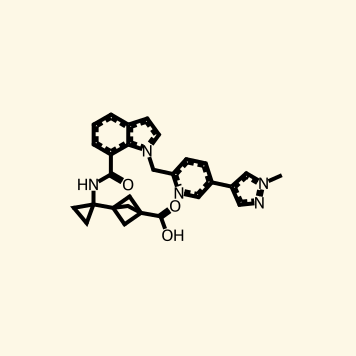 Cn1cc(-c2ccc(Cn3ccc4cccc(C(=O)NC5(C67CC(C(=O)O)(C6)C7)CC5)c43)nc2)cn1